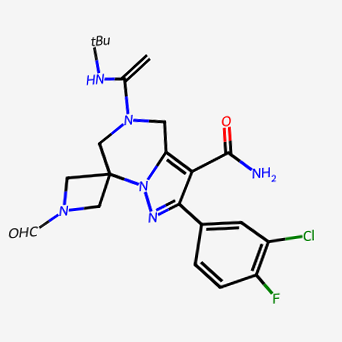 C=C(NC(C)(C)C)N1Cc2c(C(N)=O)c(-c3ccc(F)c(Cl)c3)nn2C2(CN(C=O)C2)C1